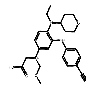 CCN(c1ccc([C@@H](COC)CC(=O)O)cc1Nc1ccc(C#N)cc1)C1CCOCC1